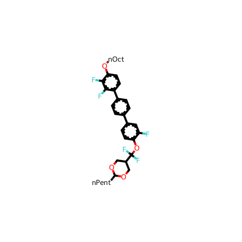 CCCCCCCCOc1ccc(-c2ccc(-c3ccc(OC(F)(F)C4COC(CCCCC)OC4)c(F)c3)cc2)c(F)c1F